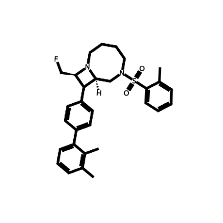 Cc1ccccc1S(=O)(=O)N1CCCCN2[C@H](CF)C(c3ccc(-c4cccc(C)c4C)cc3)[C@@H]2C1